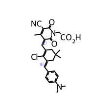 CC1=C(C#N)C(=O)N(CC(=O)O)C(=O)/C1=C\C1=C(Cl)C(=C/c2ccc(N(C)C)cc2)/CC(C)(C)C1